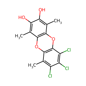 Cc1c(O)c(O)c(C)c2c1Oc1c(C)c(Cl)c(Cl)c(Cl)c1O2